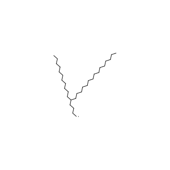 [CH2]CCCC(CCCCCCCCCCC)CCCCCCCCCCCCCCC